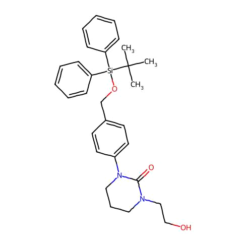 CC(C)(C)[Si](OCc1ccc(N2CCCN(CCO)C2=O)cc1)(c1ccccc1)c1ccccc1